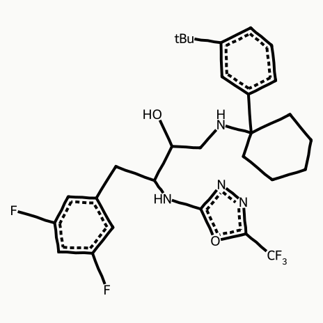 CC(C)(C)c1cccc(C2(NCC(O)C(Cc3cc(F)cc(F)c3)Nc3nnc(C(F)(F)F)o3)CCCCC2)c1